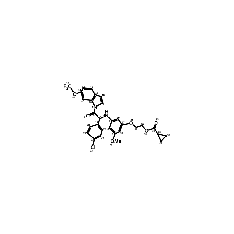 COc1cc(NC(C(=O)n2ccc3ccc(OC(F)(F)F)cc32)c2ccc(Cl)cc2)cc(OCCOC(=O)C2CC2)c1